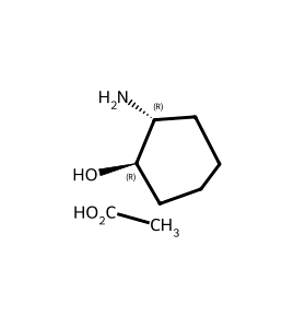 CC(=O)O.N[C@@H]1CCCC[C@H]1O